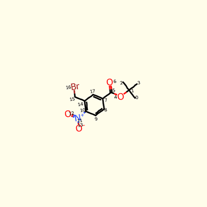 CC(C)(C)OC(=O)c1ccc([N+](=O)[O-])c(CBr)c1